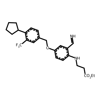 CCOC(=O)CCNc1ccc(OCc2ccc(C3CCCC3)c(C(F)(F)F)c2)cc1C=N